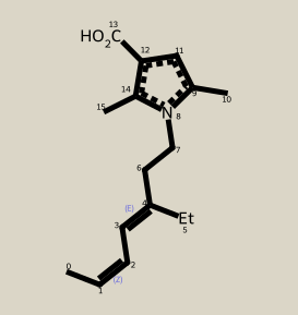 C/C=C\C=C(/CC)CCn1c(C)cc(C(=O)O)c1C